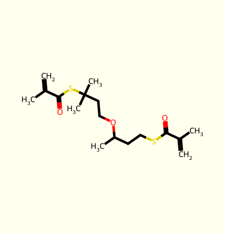 C=C(C)C(=O)SCCC(C)OCCC(C)(C)SC(=O)C(=C)C